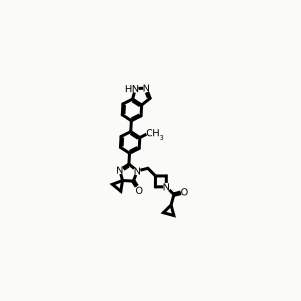 Cc1cc(C2=NC3(CC3)C(=O)N2CC2CN(C(=O)C3CC3)C2)ccc1-c1ccc2[nH]ncc2c1